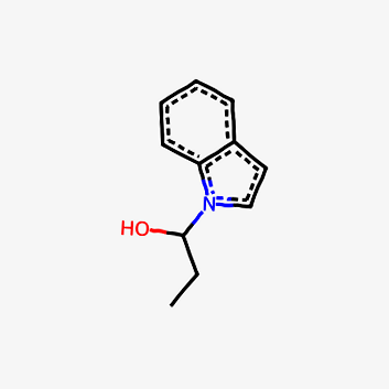 CCC(O)n1ccc2ccccc21